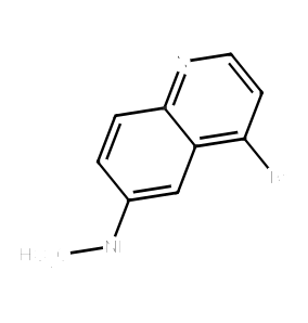 O=C(O)Nc1ccc2nccc(Br)c2c1